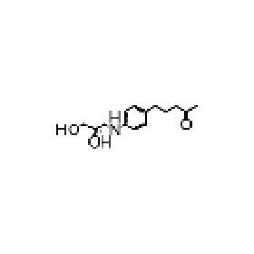 CC(=O)CCCc1ccc(NC[C@@H](O)CO)cc1